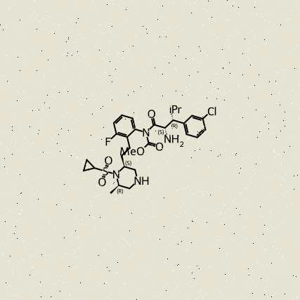 COC(=O)N(C(=O)[C@@H](N)[C@@H](c1cccc(Cl)c1)C(C)C)c1cccc(F)c1CC[C@H]1CNC[C@@H](C)N1S(=O)(=O)C1CC1